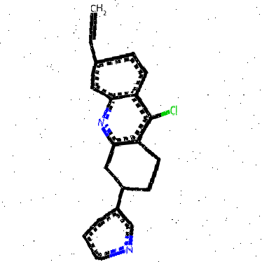 C=Cc1ccc2c(Cl)c3c(nc2c1)CC(c1cccnc1)CC3